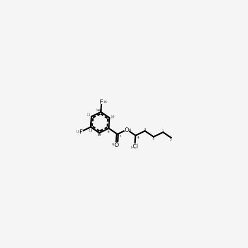 CCCCC(Cl)OC(=O)c1cc(F)cc(F)c1